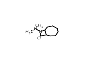 CN(C)N1C(=O)C2CCCCCCC21